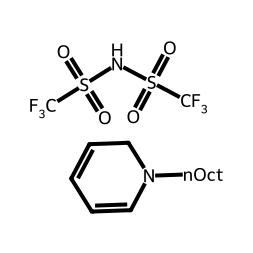 CCCCCCCCN1C=CC=CC1.O=S(=O)(NS(=O)(=O)C(F)(F)F)C(F)(F)F